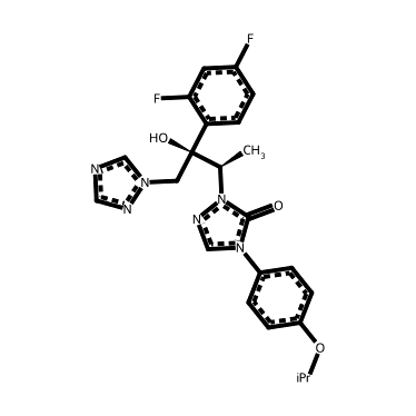 CC(C)Oc1ccc(-n2cnn([C@H](C)[C@](O)(Cn3cncn3)c3ccc(F)cc3F)c2=O)cc1